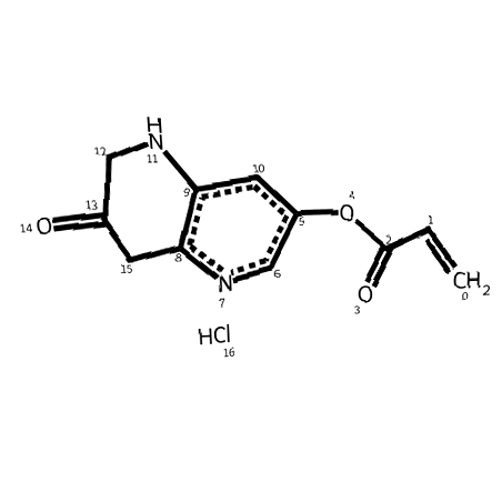 C=CC(=O)Oc1cnc2c(c1)NCC(=O)C2.Cl